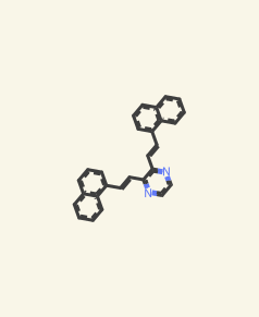 C(=Cc1cccc2ccccc12)c1nccnc1C=Cc1cccc2ccccc12